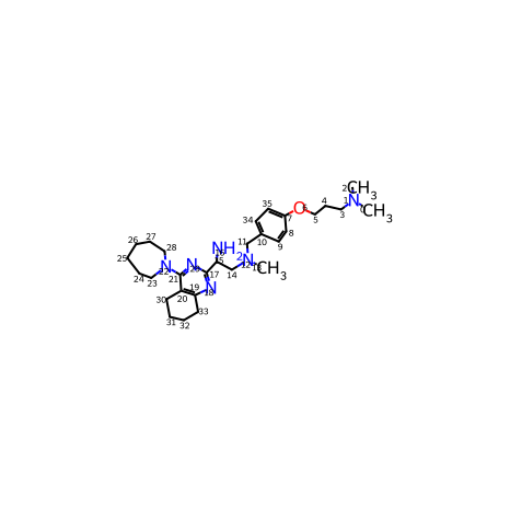 CN(C)CCCOc1ccc(CN(C)CC(N)c2nc3c(c(N4CCCCCC4)n2)CCCC3)cc1